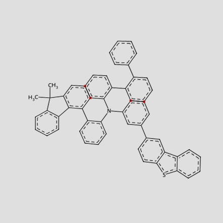 CC1(C)c2ccccc2-c2c(-c3ccccc3N(c3cccc(-c4ccc5sc6ccccc6c5c4)c3)c3ccccc3-c3ccccc3-c3ccccc3)cccc21